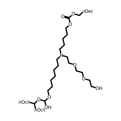 CCCCCCCCCCCOC(=O)OCCCCCN(CCCCCCCOC(O)OC(CCCCCCCC)CCCCCCCC)CCOCCOCCO